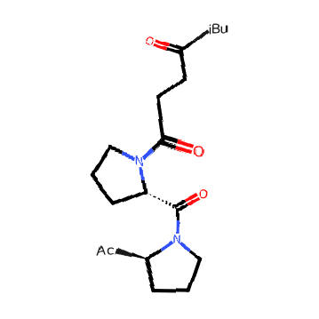 CCC(C)C(=O)CCC(=O)N1CCC[C@H]1C(=O)N1CCC[C@H]1C(C)=O